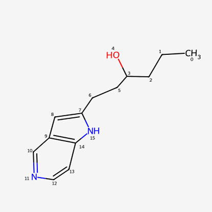 CCCC(O)CCc1cc2cnccc2[nH]1